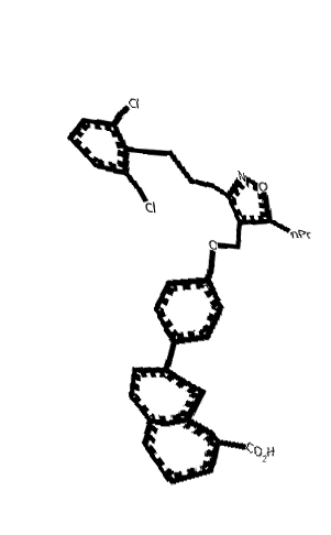 CCCc1onc(CCc2c(Cl)cccc2Cl)c1COc1ccc(-c2ccc3cccc(C(=O)O)c3c2)cc1